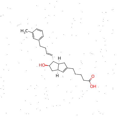 Cc1cccc(CC/C=C/[C@@H]2[C@H]3CC(CCCCC(=O)O)=C[C@H]3C[C@H]2O)c1